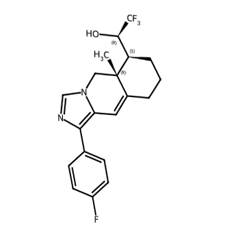 C[C@]12Cn3cnc(-c4ccc(F)cc4)c3C=C1CCC[C@@H]2[C@@H](O)C(F)(F)F